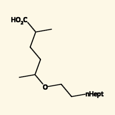 CCCCCCCCCOC(C)CCC(C)C(=O)O